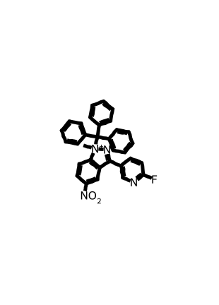 C[N+]1(C(c2ccccc2)(c2ccccc2)c2ccccc2)N=C(c2ccc(F)nc2)c2cc([N+](=O)[O-])ccc21